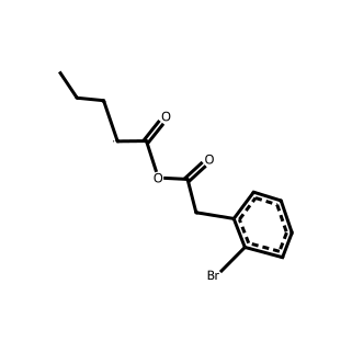 CCC[CH]C(=O)OC(=O)Cc1ccccc1Br